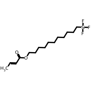 CC=CC(=O)OCCCCCCCCCCC[Si](F)(F)F